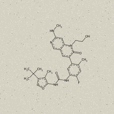 CNc1cc2c(cn1)cc(-c1cc(NC(=O)Nc3occ(C(C)(C)C)c3C)c(F)cc1C)c(=O)n2CCO